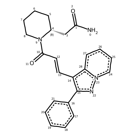 NC(=O)C[C@H]1CCCCN1C(=O)C=Cc1c(-c2ccccc2)nn2ccccc12